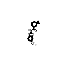 O=C(Nc1nc2ccc(C(F)(F)F)cc2s1)C1CCCC2(CC2)C1